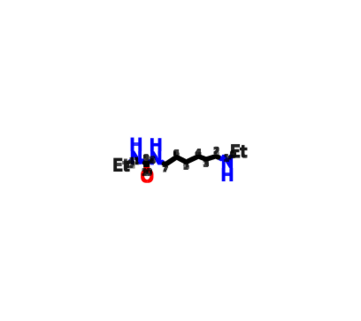 CCNCCCCCCNC(=O)NCC